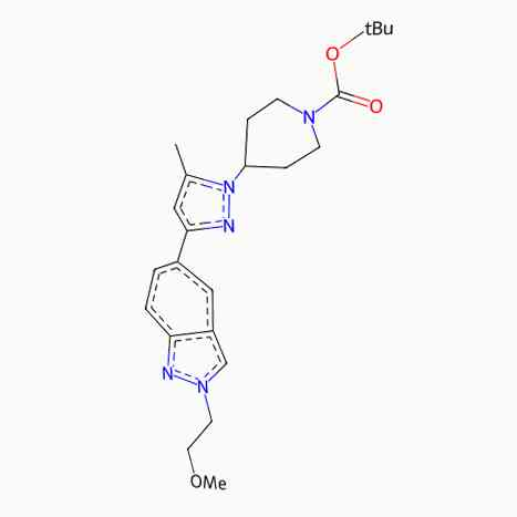 COCCn1cc2cc(-c3cc(C)n(C4CCN(C(=O)OC(C)(C)C)CC4)n3)ccc2n1